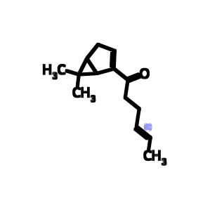 C/C=C/CCC(=O)C1=CCC2C1C2(C)C